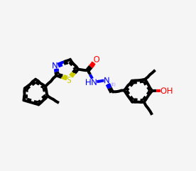 Cc1ccccc1-c1ncc(C(=O)N/N=C/c2cc(C)c(O)c(C)c2)s1